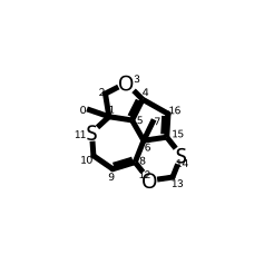 CC12COC3=C1C1(C)C(=CCS2)OCSC1=C3